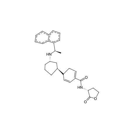 C[C@@H](N[C@H]1CCC[C@H](C2C=CC(C(=O)N[C@@H]3CCOC3=O)=CC2)C1)c1cccc2ccccc12